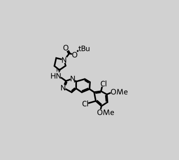 COc1cc(OC)c(Cl)c(-c2ccc3nc(N[C@@H]4CCN(C(=O)OC(C)(C)C)C4)ncc3c2)c1Cl